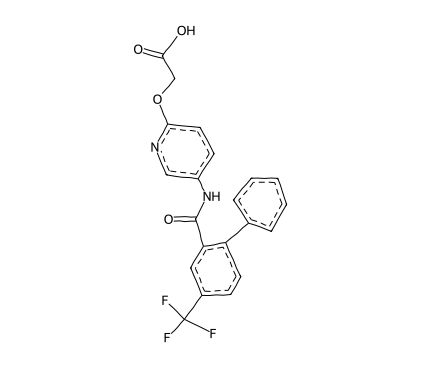 O=C(O)COc1ccc(NC(=O)c2cc(C(F)(F)F)ccc2-c2ccccc2)cn1